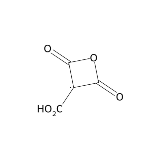 O=C(O)[C]1C(=O)OC1=O